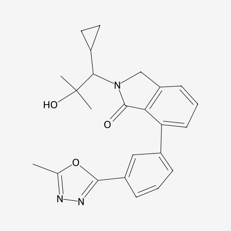 Cc1nnc(-c2cccc(-c3cccc4c3C(=O)N(C(C3CC3)C(C)(C)O)C4)c2)o1